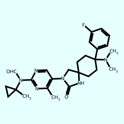 Cc1nc(N(C=O)C2(C)CC2)ncc1N1CC2(CCC(c3cccc(F)c3)(N(C)C)CC2)NC1=O